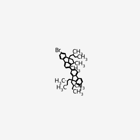 CC[C@H](C)CC1(C[C@@H](C)CC)c2cc(Br)ccc2-c2ccc(-c3ccc4c(c3)C(C[C@@H](C)CC)(C[C@@H](C)CC)c3cc(I)ccc3-4)cc21